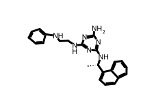 C[C@H](Nc1nc(N)nc(NCCNc2ccccc2)n1)c1cccc2ccccc12